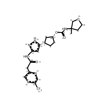 CC1(NC(=O)O[C@@H]2CC[C@H](c3cc(NC(=O)Cc4cnc(C(F)(F)F)cn4)n[nH]3)C2)CCOC1